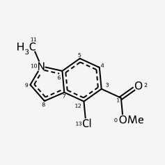 COC(=O)c1ccc2c(ccn2C)c1Cl